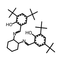 CC(C)(C)c1cc(/C=N/C2CCCCC2/N=C/c2cc(C(C)(C)C)cc(C(C)(C)C)c2O)c(O)c(C(C)(C)C)c1